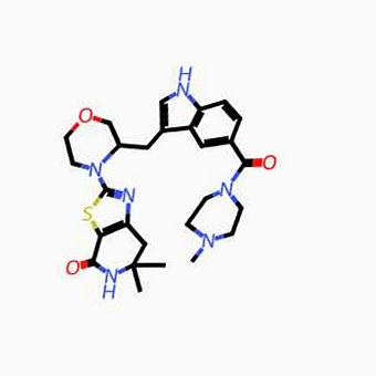 CN1CCN(C(=O)c2ccc3[nH]cc(CC4COCCN4c4nc5c(s4)C(=O)NC(C)(C)C5)c3c2)CC1